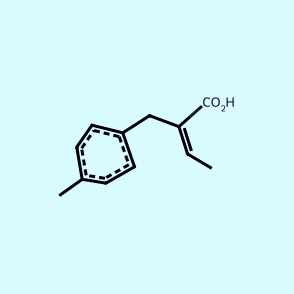 CC=C(Cc1ccc(C)cc1)C(=O)O